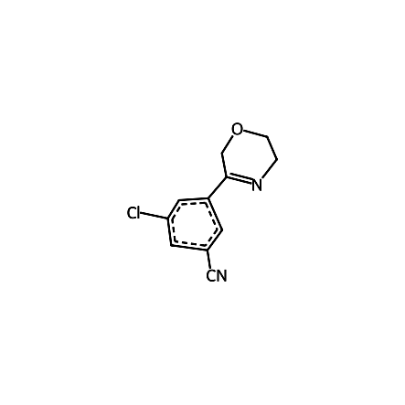 N#Cc1cc(Cl)cc(C2=NCCOC2)c1